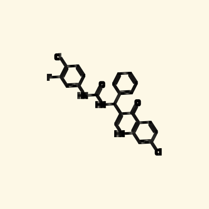 O=C(Nc1ccc(Cl)c(F)c1)NC(c1ccccc1)c1c[nH]c2cc(Cl)ccc2c1=O